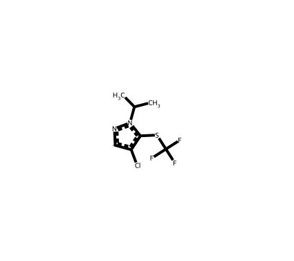 CC(C)n1n[c]c(Cl)c1SC(F)(F)F